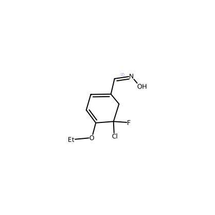 CCOC1=CC=C(/C=N\O)CC1(F)Cl